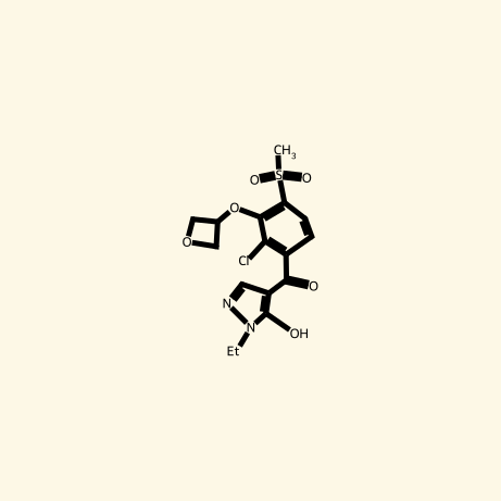 CCn1ncc(C(=O)c2ccc(S(C)(=O)=O)c(OC3COC3)c2Cl)c1O